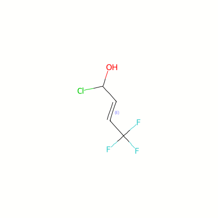 OC(Cl)/C=C/C(F)(F)F